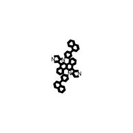 c1ccc2c(-c3ccc(-n4c5ccncc5c5c6ccccc6c6c(c7ccccc7c7c8cnccc8n(-c8ccc(-c9cccc%10ccccc9%10)cc8)c76)c54)cc3)cccc2c1